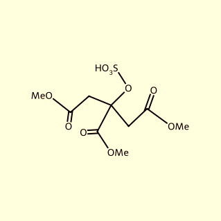 COC(=O)CC(CC(=O)OC)(OS(=O)(=O)O)C(=O)OC